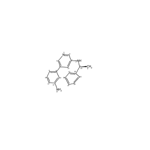 C[C@H](Nc1cncc(-c2cccc(N)c2)c1)c1ccccc1